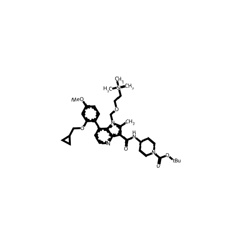 COc1ccc(-c2ccnc3c(C(=O)NC4CCN(C(=O)OC(C)(C)C)CC4)c(C)n(COCC[Si](C)(C)C)c23)c(OCC2CC2)c1